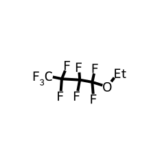 [CH2]COC(F)(F)C(F)(F)C(F)(F)C(F)(F)F